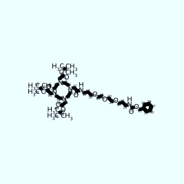 CC(C)(C)OC(=O)CN1CCN(CC(=O)NCCCOCCOCCOCCCNC(=O)OCc2ccccc2)CCN(CC(=O)OC(C)(C)C)CCN(CC(=O)OC(C)(C)C)CC1